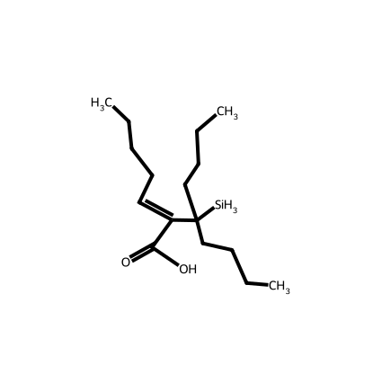 CCCCC=C(C(=O)O)C([SiH3])(CCCC)CCCC